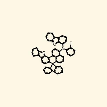 Fc1ccccc1N(c1ccc2c3c(cccc13)C(c1ccccc1)(c1ccccc1)c1ccc3c(oc4ccccc43)c1-2)c1cccc2c1oc1ccccc12